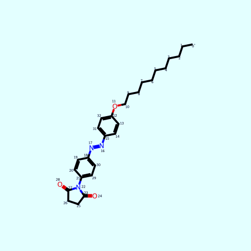 [CH2]CCCCCCCCCCOc1ccc(N=Nc2ccc(N3C(=O)CCC3=O)cc2)cc1